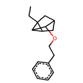 CCC12CC3CC1C2C3OCCc1ccccc1